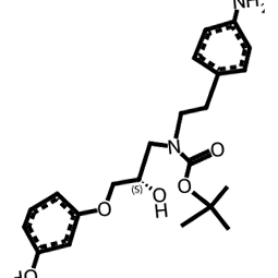 CC(C)(C)OC(=O)N(CCc1ccc(N)cc1)C[C@H](O)COc1cccc(O)c1